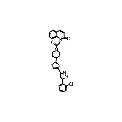 O=C(Cn1c(=O)ccc2ccccc21)N1CCC(c2nc(C3=NOC(c4ccccc4Cl)C3)cs2)CC1